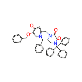 O=C1C(=O)N(C(c2ccccc2)(c2ccccc2)c2ccccc2)CCN1Cc1cc(=O)c(OCc2ccccc2)cn1Cc1ccccc1